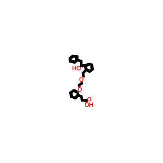 O=C(O)CCc1ccccc1OCCOCCc1ccccc1[C@H](O)Cc1ccccc1